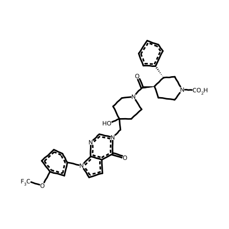 O=C(O)N1CC[C@@H](C(=O)N2CCC(O)(Cn3cnc4c(ccn4-c4cccc(OC(F)(F)F)c4)c3=O)CC2)[C@H](c2ccccc2)C1